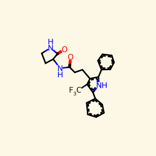 O=C(CCc1c(-c2ccccc2)[nH]c(-c2ccccc2)c1C(F)(F)F)NC1CCNC1=O